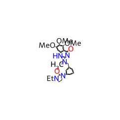 CCN1CCN(c2cccc(CN(C)c3nc(=O)c4c(OC)c(OC)c(OC)cc4[nH]3)c2)C1=O